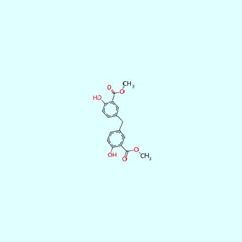 COC(=O)c1cc(Cc2ccc(O)c(C(=O)OC)c2)ccc1O